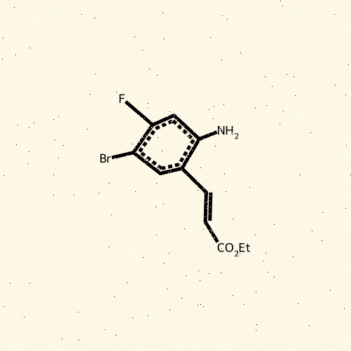 CCOC(=O)/C=C/c1cc(Br)c(F)cc1N